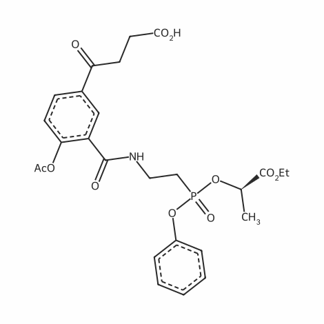 CCOC(=O)[C@@H](C)OP(=O)(CCNC(=O)c1cc(C(=O)CCC(=O)O)ccc1OC(C)=O)Oc1ccccc1